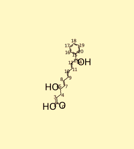 O=C(O)CCC(O)/C=C/C=C/C=C/C(O)c1ccccc1